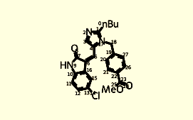 CCCCc1ncc(C=C2C(=O)Nc3ccc(Cl)cc32)n1Cc1ccc(C(=O)OC)cc1